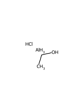 CCO.Cl.[AlH3]